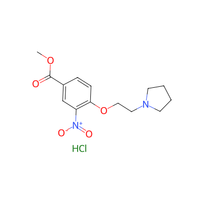 COC(=O)c1ccc(OCCN2CCCC2)c([N+](=O)[O-])c1.Cl